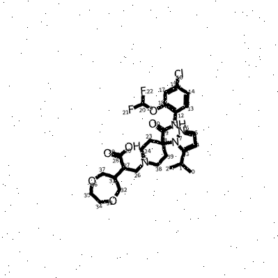 CC(C)c1ccnn1C1(C(=O)Nc2ccc(Cl)cc2OC(F)F)CCN(CC(C(=O)O)C2COCCOC2)CC1